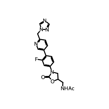 CC(=O)NCC1CN(c2ccc(-c3ccc(Cn4cncn4)nc3)c(F)c2)C(=O)O1